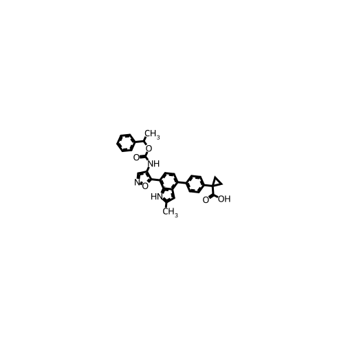 Cc1cc2c(-c3ccc(C4(C(=O)O)CC4)cc3)ccc(-c3oncc3NC(=O)OC(C)c3ccccc3)c2[nH]1